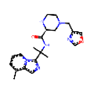 Cc1cccn2c(C(C)(C)NC(=O)[C@@H]3CN(Cc4cocn4)CCN3)ncc12